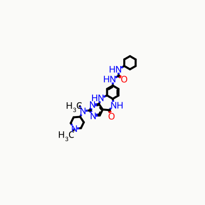 CN1CCC(N(C)c2ncc3c(n2)NC2C=C(NC(=O)NC4CCCCC4)C=CC2NC3=O)CC1